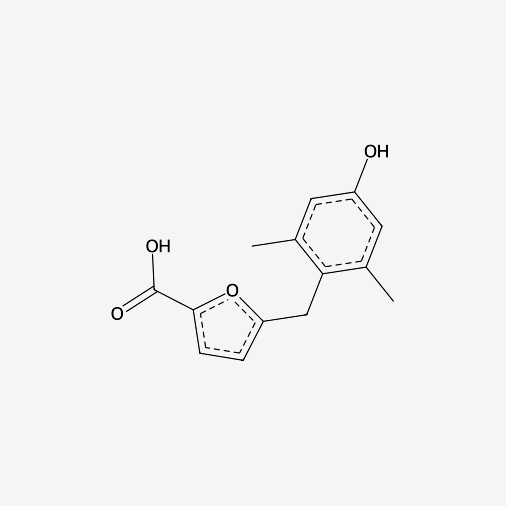 Cc1cc(O)cc(C)c1Cc1ccc(C(=O)O)o1